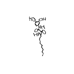 CCCCCCCCCCNC(=O)C(=O)Nc1ccc(O)c(O)c1